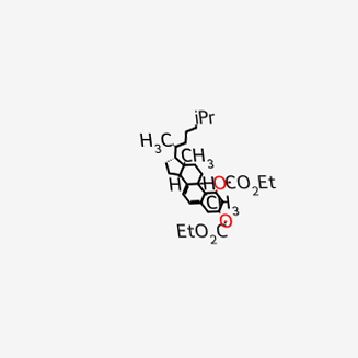 CCOC(=O)O[C@@H]1CC2=CC=C3[C@@H]4CC[C@H]([C@H](C)CCCC(C)C)[C@@]4(C)CC[C@@H]3[C@@]2(C)[C@@H](OC(=O)OCC)C1